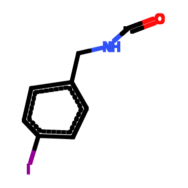 O=[C]NCc1ccc(I)cc1